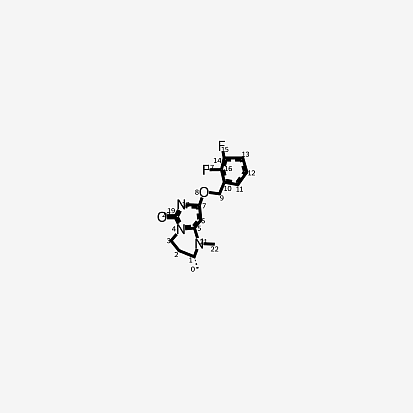 C[C@@H]1CCn2c(cc(OCc3cccc(F)c3F)nc2=O)N1C